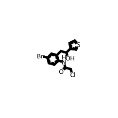 O=C(CCl)Nc1ccc(Br)cc1CC(O)c1ccsc1